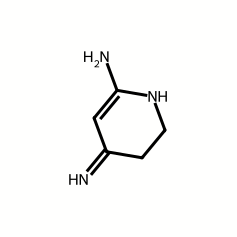 N=C1C=C(N)NCC1